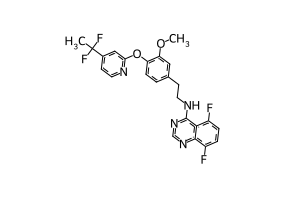 COc1cc(CCNc2ncnc3c(F)ccc(F)c23)ccc1Oc1cc(C(C)(F)F)ccn1